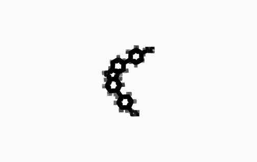 [C-]#[N+]c1ccc(-c2ccc3oc4ccc(-c5ccc(C#N)cc5)cc4c3c2)cc1